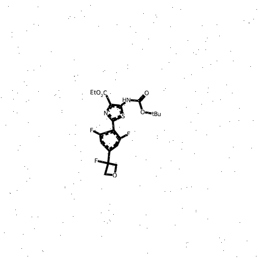 CCOC(=O)c1nc(-c2c(F)cc(C3(F)COC3)cc2F)sc1NC(=O)OC(C)(C)C